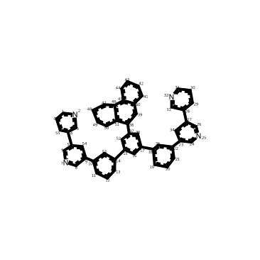 c1cncc(-c2cncc(-c3cccc(-c4cc(-c5cccc(-c6cncc(-c7cccnc7)c6)c5)cc(-c5cc6ccccc6c6ccccc56)c4)c3)c2)c1